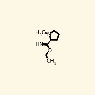 CCOC(=N)[C@@H]1CCCN1C